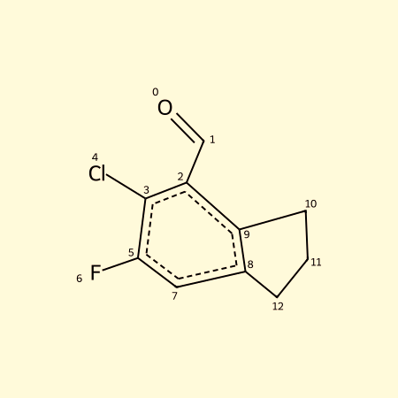 O=Cc1c(Cl)c(F)cc2c1CCC2